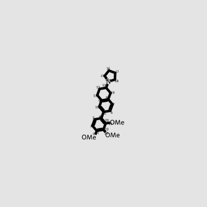 COc1ccc(-c2ccc3c(c2)CCC(N2CCCC2)C3)c(OC)c1OC